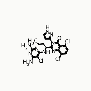 CCC[C@H](Nc1nc(N)nc(N)c1Cl)c1nc2c(Cl)ccc(Cl)c2c(=O)n1-c1cc[nH]n1